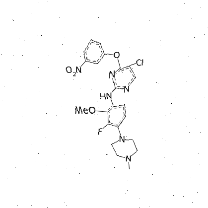 COc1c(Nc2ncc(Cl)c(Oc3cccc([N+](=O)[O-])c3)n2)ccc(N2CCN(C)CC2)c1F